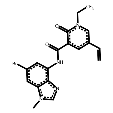 C=Cc1cc(C(=O)Nc2cc(Br)cc3c2ncn3C)c(=O)n(CC(F)(F)F)c1